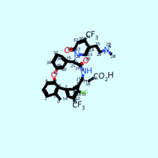 Cc1cccc2c1-c1cc(c(F)c(C(F)(F)F)c1)[C@@H](CC(=O)O)NC(=O)[C@@H](n1cc(CCN(C)C)c(C(F)(F)F)cc1=O)c1cccc(c1)O2